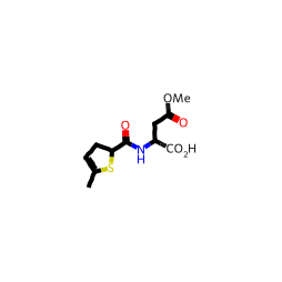 COC(=O)CC(NC(=O)C1CC=C(C)S1)C(=O)O